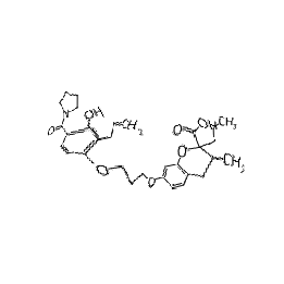 C=CCc1c(OCCCOc2ccc3c(c2)OC(CCC)(C(=O)O)C(C)C3)ccc(C(=O)N2CCCC2)c1O